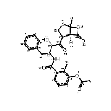 CC(=O)Oc1cccc(C(=O)N[C@@H](Cc2ccccc2)[C@H](O)C(=O)C2CSC3(C)OC(=O)[C@@H]23)c1C